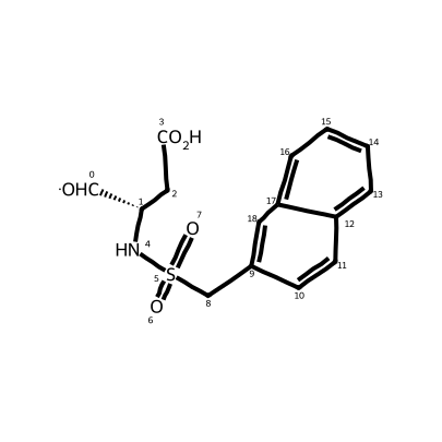 O=[C][C@H](CC(=O)O)NS(=O)(=O)Cc1ccc2ccccc2c1